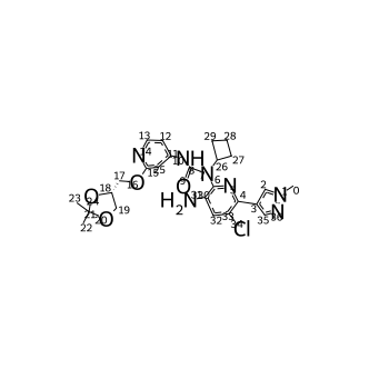 Cn1cc(-c2nc(N(C(=O)Nc3ccnc(OC[C@@H]4COC(C)(C)O4)c3)C3CCC3)c(N)cc2Cl)cn1